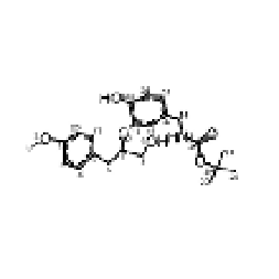 COc1ccc(CC(CO)Oc2cc(CNC(=O)OC(C)(C)C)ccc2O)cc1